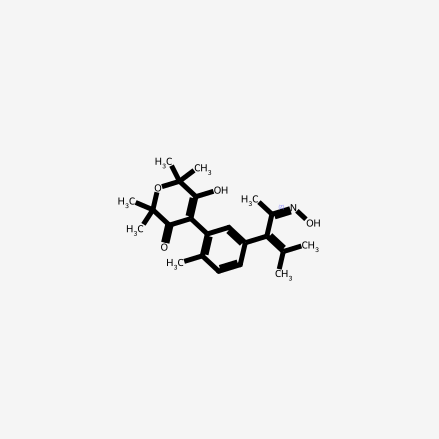 CC(C)=C(/C(C)=N\O)c1ccc(C)c(C2=C(O)C(C)(C)OC(C)(C)C2=O)c1